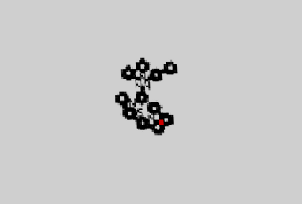 c1ccc(-c2ccc(-c3nc(-c4cccc(-n5c6ccccc6c6ccc7c8ccc9c%10ccccc%10n(-c%10ccccc%10-c%10ccccc%10)c9c8sc7c65)c4)nc(-c4ccccc4-c4ccccc4)n3)cc2)cc1